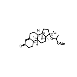 COC(C)O[C@]1(C(C)=O)CC[C@H]2[C@@H]3CCC4=CC(=O)CC[C@]4(C)[C@H]3CC[C@@]21C